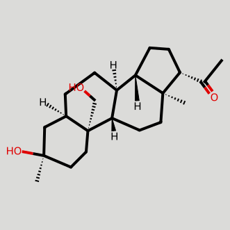 CC(=O)[C@H]1CC[C@H]2[C@@H]3CC[C@@H]4C[C@](C)(O)CC[C@]4(CO)[C@H]3CC[C@]12C